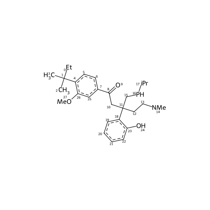 CCC(C)(C)c1ccc(C(=O)CC(CCNC)(CPC(C)C)c2ccccc2O)cc1OC